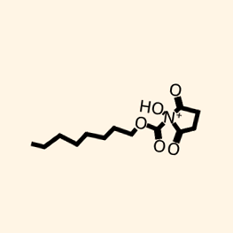 CCCCCCCCOC(=O)[N+]1(O)C(=O)CCC1=O